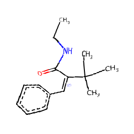 CCNC(=O)/C(=C\c1ccccc1)C(C)(C)C